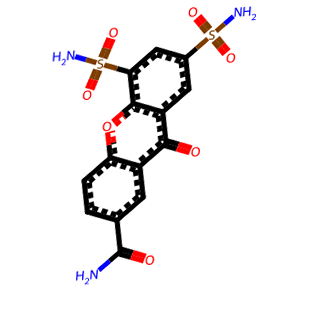 NC(=O)c1ccc2oc3c(S(N)(=O)=O)cc(S(N)(=O)=O)cc3c(=O)c2c1